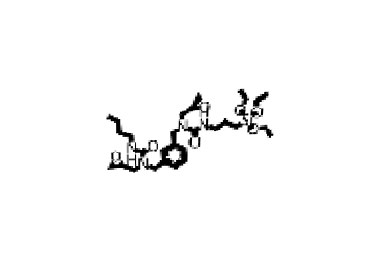 CCCCNC(=O)N(Cc1cccc(CN(CC2CO2)C(=O)NCCC[Si](OCC)(OCC)OCC)c1)CC1CO1